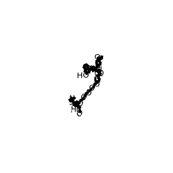 C=CC(=O)N1CCN(c2nc(O[C@H](C)CN3CCC(OCCOCCOCCOCCOc4cc(-c5scnc5C)ccc4CNC=O)CC3)nc3c2CCN(c2cc(O)cc4ccccc24)C3)CC1